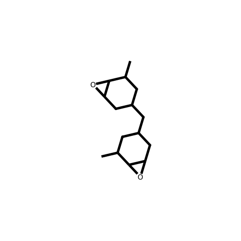 CC1CC(CC2CC(C)C3OC3C2)CC2OC12